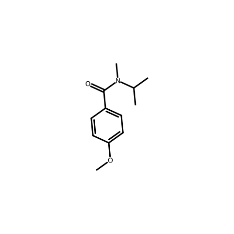 COc1ccc(C(=O)N(C)C(C)C)cc1